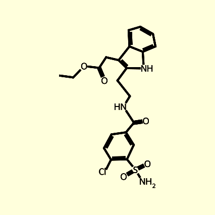 CCOC(=O)Cc1c(CCNC(=O)c2ccc(Cl)c(S(N)(=O)=O)c2)[nH]c2ccccc12